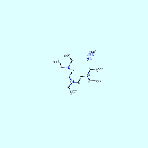 O=C([O-])CN(CCN(CC(=O)[O-])CC(=O)[O-])CCN(CC(=O)[O-])CC(=O)[O-].[Gd+3].[NH4+].[NH4+]